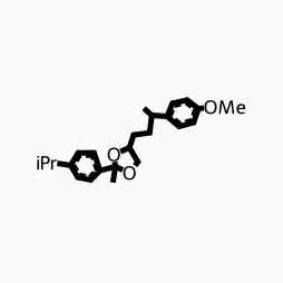 COc1ccc(C(C)CCC2COC(C)(c3ccc(C(C)C)cc3)O2)cc1